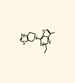 CCc1nc(N2CCc3ncsc3C2)c2scc(C)c2n1